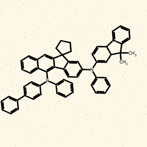 CC1(C)c2ccccc2C2C=CC(N(c3ccccc3)c3ccc4c(c3)C3(CCCC3)c3cc5ccccc5c(N(c5ccccc5)c5ccc(-c6ccccc6)cc5)c3-4)=CC21